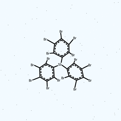 Brc1c(Br)c(Br)[c]([Sb]([c]2c(Br)c(Br)c(Br)c(Br)c2Br)[c]2c(Br)c(Br)c(Br)c(Br)c2Br)c(Br)c1Br